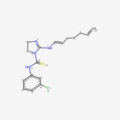 C=CCCCC=CNC1=NCCN1C(=S)Nc1cccc(Cl)c1